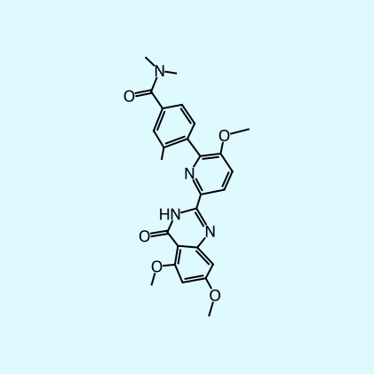 COc1cc(OC)c2c(=O)[nH]c(-c3ccc(OC)c(-c4ccc(C(=O)N(C)C)cc4C)n3)nc2c1